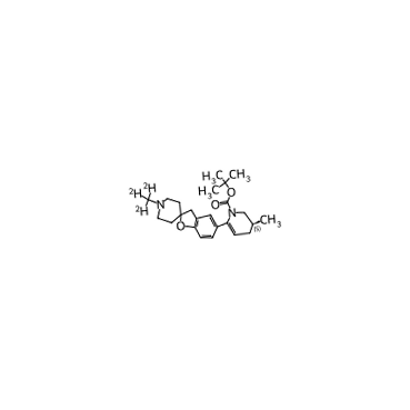 [2H]C([2H])([2H])N1CCC2(CC1)Cc1cc(C3=CC[C@H](C)CN3C(=O)OC(C)(C)C)ccc1O2